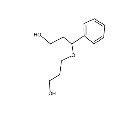 OCCCOC(CCO)c1ccccc1